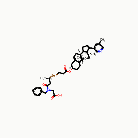 Cc1cncc(C2=CCC3[C@@H]4CC=C5C[C@@H](OC(=O)CCSS[C@H](C)CC(=O)N(CC(=O)O)Cc6ccccc6)CC[C@]5(C)[C@H]4CC[C@]23C)c1